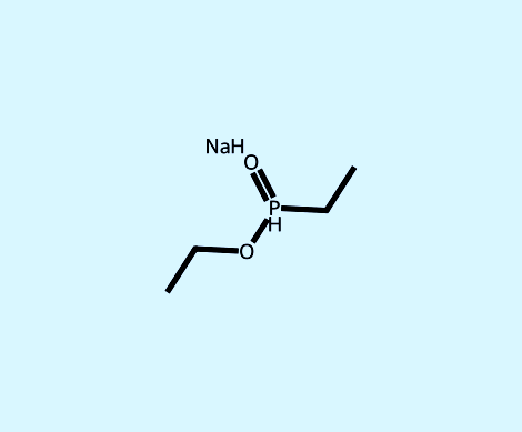 CCO[PH](=O)CC.[NaH]